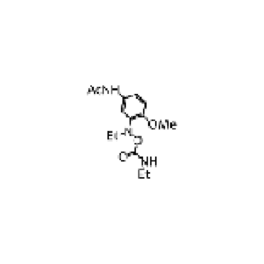 CCNC(=O)ON(CC)c1cc(NC(C)=O)ccc1OC